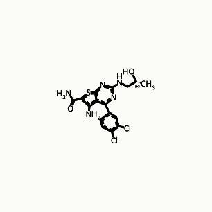 C[C@@H](O)CNc1nc(-c2ccc(Cl)c(Cl)c2)c2c(N)c(C(N)=O)sc2n1